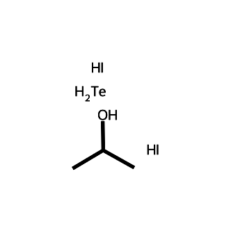 CC(C)O.I.I.[TeH2]